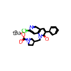 CC(C)(C)OC(=O)N1CCC(Cn2c(=O)c(-c3ccccc3)cc3cnc(Cl)cc32)C1